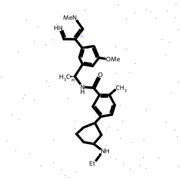 CCNC1CCCC(c2ccc(C)c(C(=O)N[C@H](C)c3cc(OC)cc(/C(C=N)=C/NC)c3)c2)C1